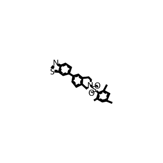 Cc1cc(C)c(S(=O)(=O)N2CCc3cc(-c4ccc5ncsc5c4)ccc3C2)c(C)c1